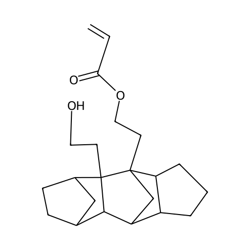 C=CC(=O)OCCC12CC(C3CCCC31)C1C3CCC(C3)C12CCO